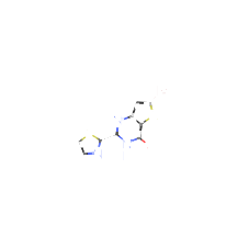 O=c1[nH]c(-c2nccs2)nc2cc(Br)sc12